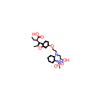 CCC(C(=O)O)c1c(C)oc2cc(OCCN(CCO)c3ccccc3NS(C)(=O)=O)ccc12